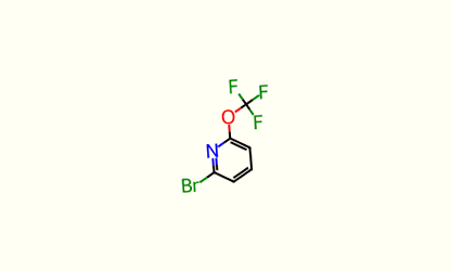 FC(F)(F)Oc1cccc(Br)n1